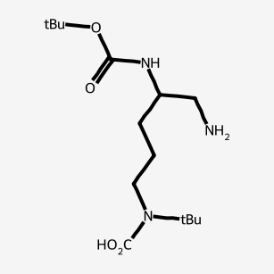 CC(C)(C)OC(=O)NC(CN)CCCN(C(=O)O)C(C)(C)C